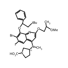 COC(C)COc1cc(N(C)[C@H]2CCN(C(=O)O)C2)c2cc(I)c(Br)c(OC(CC(C)(C)C)c3ccccc3)c2n1